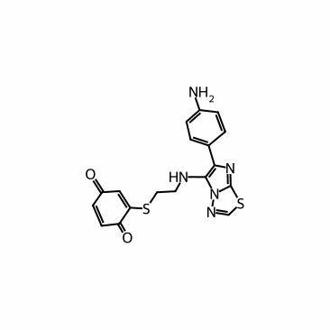 Nc1ccc(-c2nc3scnn3c2NCCSC2=CC(=O)C=CC2=O)cc1